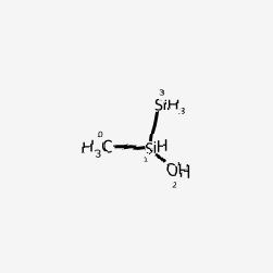 C[SiH](O)[SiH3]